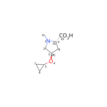 CN1C[C@H](OC2CC2)C[C@H]1C(=O)O